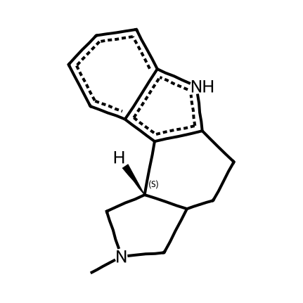 CN1CC2CCc3[nH]c4ccccc4c3[C@H]2C1